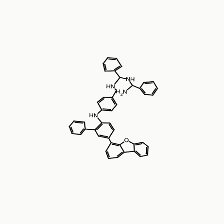 NC(NC(NCc1ccc(Nc2ccc(-c3cccc4c3oc3ccccc34)cc2-c2ccccc2)cc1)c1ccccc1)c1ccccc1